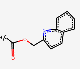 CC(=O)OCc1ccc2ccccc2n1